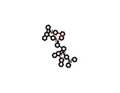 c1ccc(-c2ccc(-n3c4ccccc4c4cc5ccccc5c(-c5ccc(N(c6ccccc6)c6cccc(-c7cccc8c7c7cc9ccccc9c(-c9ccc%10ccccc%10c9)c7n8-c7ccc(N(c8ccccc8)c8ccccc8)cc7)c6)cc5)c43)cc2)cc1